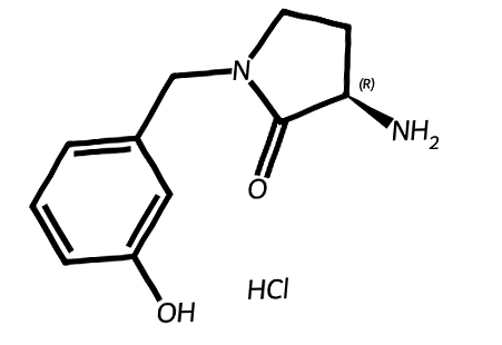 Cl.N[C@@H]1CCN(Cc2cccc(O)c2)C1=O